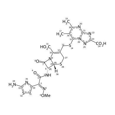 CON=C(C(=O)N[C@@H]1C(=O)N2C(C(=O)O)=C(CSc3c(C)c(C)nc4nc(C(=O)O)nn34)CS[C@H]12)c1csc(N)n1